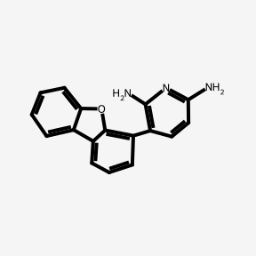 Nc1ccc(-c2cccc3c2oc2ccccc23)c(N)n1